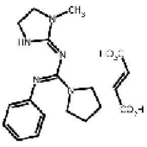 CN1CCN/C1=N\C(=N\c1ccccc1)N1CCCC1.O=C(O)/C=C/C(=O)O